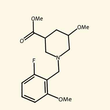 COC(=O)C1CC(OC)CN(Cc2c(F)cccc2OC)C1